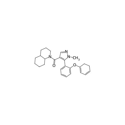 Cn1ncc(C(=O)N2CCCC3CCCCC32)c1-c1ccccc1OC1=CC=CCC1